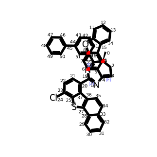 C[C@H]1C/C=C(c2ccc3oc4ccccc4c3c2)/N=C(c2ccc(Cl)c3sc4c5ccccc5ccc4c23)\N=C/1c1cccc(-c2ccccc2)c1